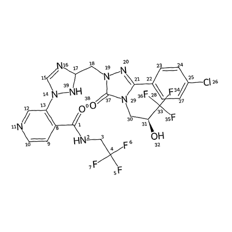 O=C(NCC(F)(F)F)c1ccncc1N1C=NC(Cn2nc(-c3ccc(Cl)cc3)n(C[C@H](O)C(F)(F)F)c2=O)N1